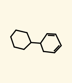 C1=CCC(C2CCCCC2)C=C1